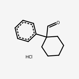 Cl.O=CC1(c2ccccc2)CCCCC1